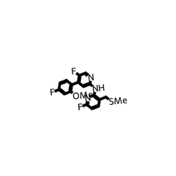 COc1cc(F)ccc1-c1cc(Nc2nc(F)ccc2CSC)ncc1F